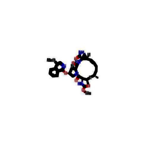 COc1cnc(O[C@@H]2C[C@H]3C(=O)N[C@]4(C(N)=O)C[C@H]4/C=C\CC[C@H](C)C[C@@H](C)[C@H](NC(=O)OC(C)(C)C)C(=O)N3C2)c2ccccc12